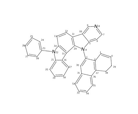 C1=Cc2c(-n3c4ccncc4c4ccc5c(c6ccccc6n5-c5ccccc5)c43)cc3ccccc3c2CC1